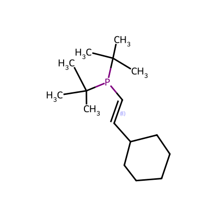 CC(C)(C)P(/C=C/C1CCCCC1)C(C)(C)C